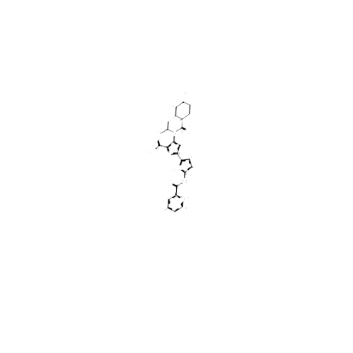 CC(C)N(c1cc(-c2ccc(NC(=O)c3ccccn3)s2)sc1C(=O)O)C(=O)[C@H]1CC[C@H](C)CC1